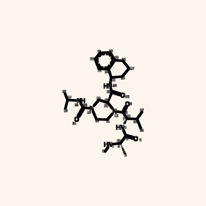 CN[C@@H](C)C(=O)N[C@H](C(=O)N1CCN(C(=O)NC(C)C)C[C@H]1C(=O)NC1CCCc2ccccc21)C(C)C